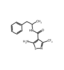 CC(Cc1ccccc1)NC(=O)c1c(C(F)(F)F)nsc1N